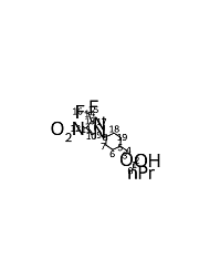 CCCC(O)OCC1CCC(n2cc([N+](=O)[O-])c(C(F)F)n2)CC1